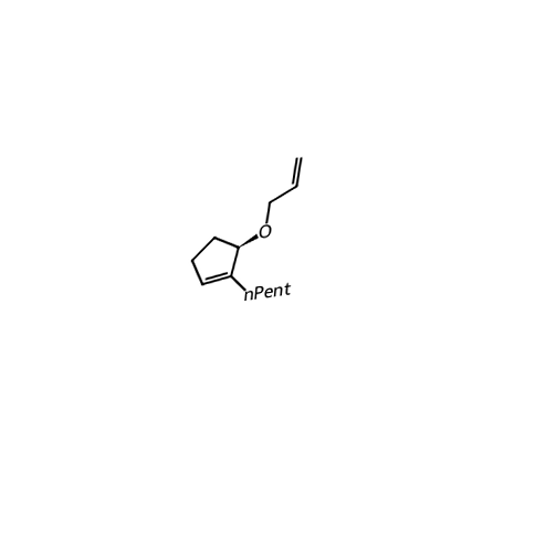 C=CCO[C@@H]1CCC=C1CCCCC